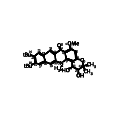 COc1cc2c(c3c1c(=O)c1cc4cc(C(C)(C)C)c(C(C)(C)C)cc4cc1n3C)C(O)C(O)C(C)(C)O2